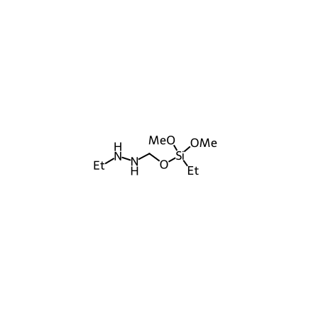 CCNNCO[Si](CC)(OC)OC